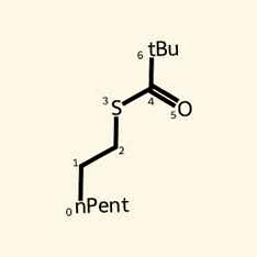 CCCCCCCSC(=O)C(C)(C)C